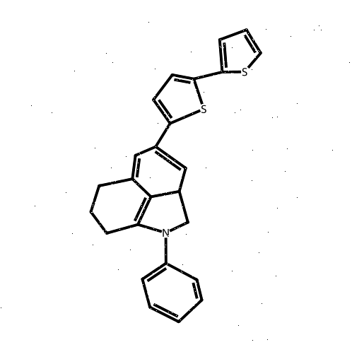 C1=C2CCCC3=C2C(C=C1c1ccc(-c2cccs2)s1)CN3c1ccccc1